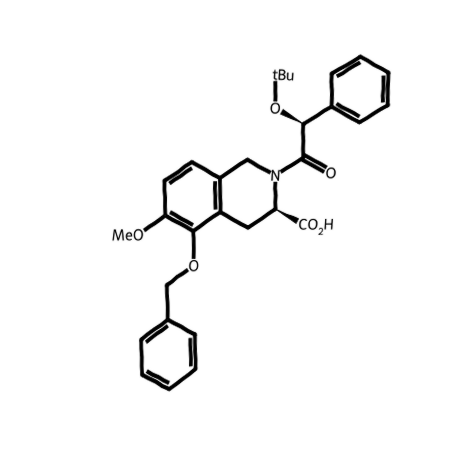 COc1ccc2c(c1OCc1ccccc1)C[C@H](C(=O)O)N(C(=O)[C@@H](OC(C)(C)C)c1ccccc1)C2